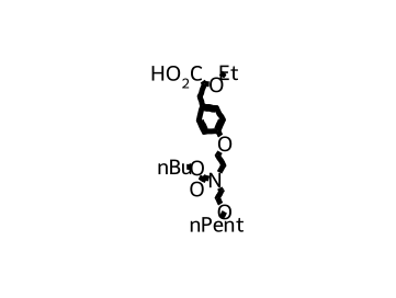 CCCCCOCCN(CCOc1ccc(CC(OCC)C(=O)O)cc1)C(=O)OCCCC